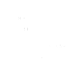 B[PH](CCC(=O)OC)(c1ccccc1)c1ccccc1